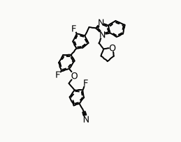 N#Cc1ccc(COc2cc(-c3ccc(Cc4nc5ccccc5n4CC4CCCO4)c(F)c3)ccc2F)c(F)c1